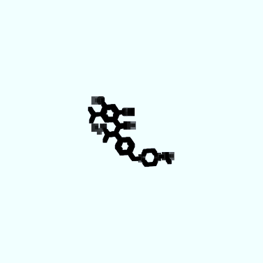 CNN1CCN(Cc2ccc(/C(C(=N)c3cc(C(C)C)c(O)cc3O)=C(\C)N)cc2)CC1